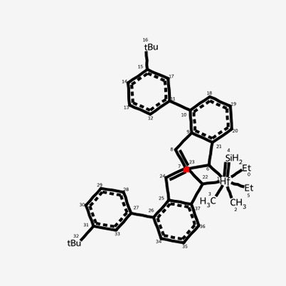 C[CH2][Hf]([CH3])([CH3])(=[SiH2])([CH2]C)([CH]1C=Cc2c(-c3cccc(C(C)(C)C)c3)cccc21)[CH]1C=Cc2c(-c3cccc(C(C)(C)C)c3)cccc21